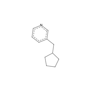 c1cncc(CC2CCCC2)c1